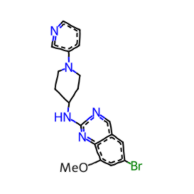 COc1cc(Br)cc2cnc(NC3CCN(c4cccnc4)CC3)nc12